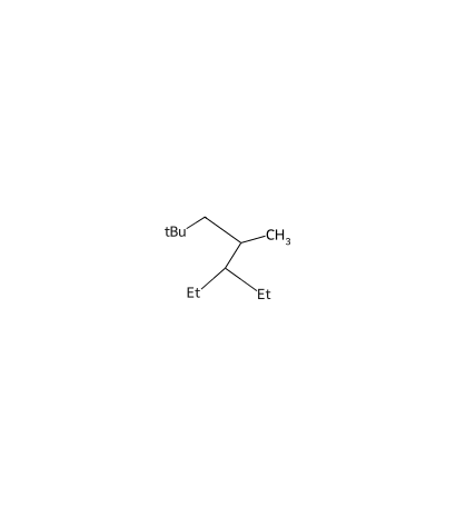 [CH2]C(C)(C)CC(C)C(CC)CC